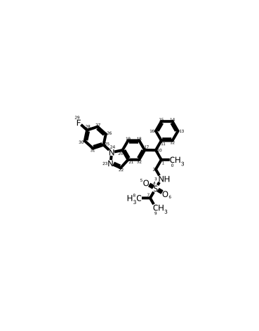 CC(CNS(=O)(=O)C(C)C)C(c1ccccc1)c1ccc2c(cnn2-c2ccc(F)cc2)c1